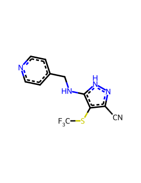 N#Cc1n[nH]c(NCc2ccncc2)c1SC(F)(F)F